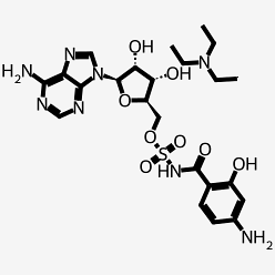 CCN(CC)CC.Nc1ccc(C(=O)NS(=O)(=O)OC[C@H]2O[C@@H](n3cnc4c(N)ncnc43)[C@H](O)[C@@H]2O)c(O)c1